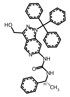 C[C@@H](NC(=O)Nc1cc2c(cn1)c(CO)nn2C(c1ccccc1)(c1ccccc1)c1ccccc1)c1ccccc1